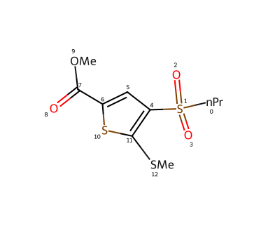 CCCS(=O)(=O)c1cc(C(=O)OC)sc1SC